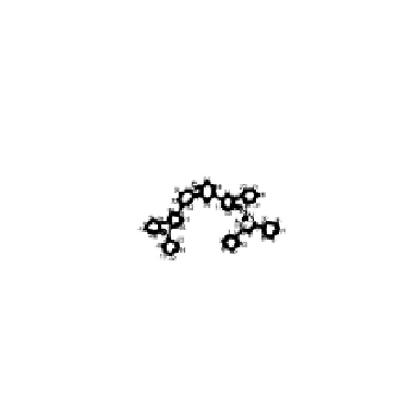 c1ccc(-c2cc(-c3ccccc3)nc(-n3c4ccccc4c4cc(-c5ccc6sc7ccc(-c8ccc9c(c8)c8ccccc8n9-c8ccccc8)cc7c6c5)ccc43)n2)cc1